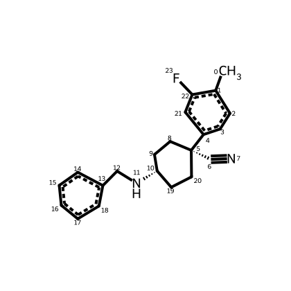 Cc1ccc([C@]2(C#N)CC[C@@H](NCc3ccccc3)CC2)cc1F